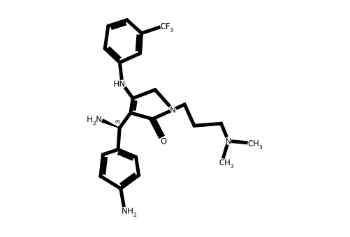 CN(C)CCCN1CC(Nc2cccc(C(F)(F)F)c2)=C([C@H](N)c2ccc(N)cc2)C1=O